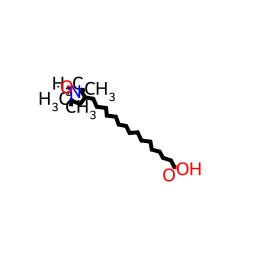 CC1(C)CC(CCCCCCCCCCCCCCCC(=O)O)C(C)(C)N1[O]